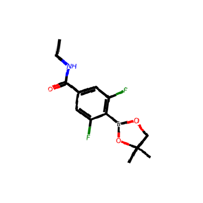 CCNC(=O)c1cc(F)c(B2OCC(C)(C)O2)c(F)c1